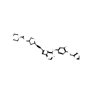 O=C(OC1CNC(C#Cc2cc3ncnc(Nc4ccc(OCc5cscn5)c(Cl)c4)c3s2)C1)N1CCOCC1